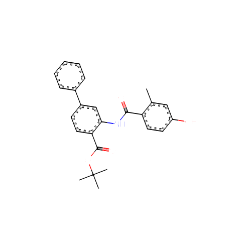 Cc1cc(O)ccc1C(=O)Nc1cc(-c2ccccc2)ccc1C(=O)OC(C)(C)C